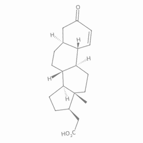 C[C@]12CC[C@@H]3[C@H]4C=CC(=O)C[C@@H]4CC[C@H]3[C@@H]1CC[C@@H]2CC(=O)O